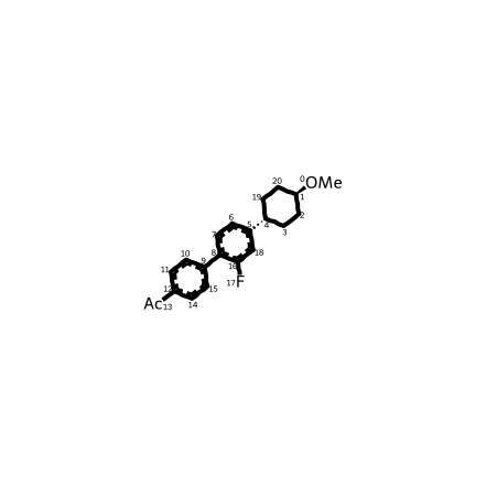 CO[C@H]1CC[C@H](c2ccc(-c3ccc(C(C)=O)cc3)c(F)c2)CC1